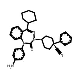 N#C[C@]1(c2ccccc2)CC[C@H](N2N=C(C3CCCCC3)c3ccccc3N(c3ccc(N)cc3)C2=O)CC1